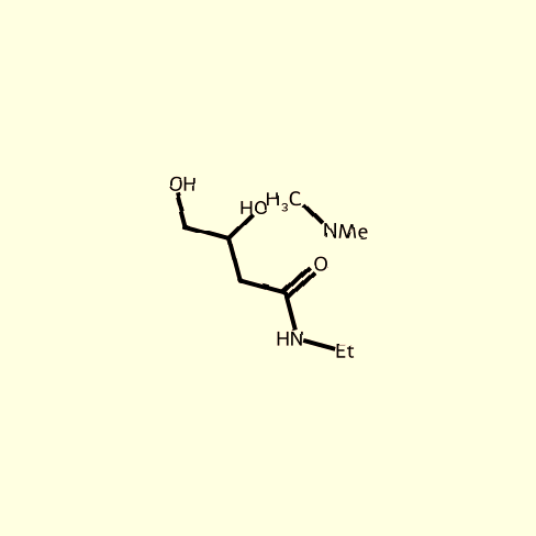 CCNC(=O)CC(O)CO.CNC